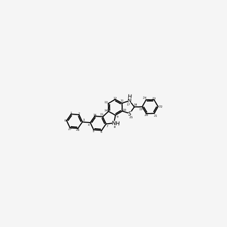 c1ccc(-c2ccc3[nH]c4c5c(ccc4c3c2)NC(c2ccccc2)S5)cc1